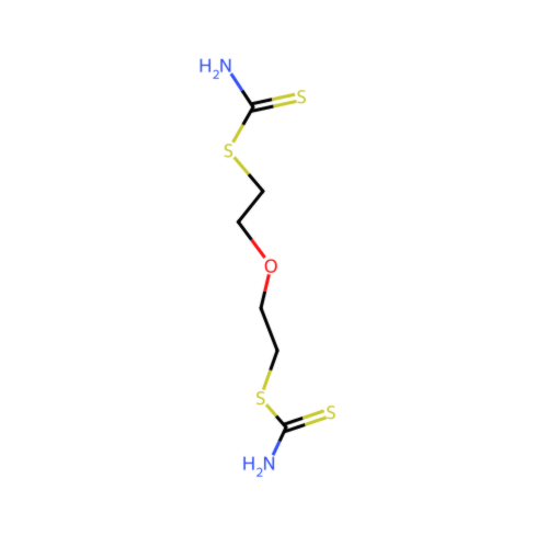 NC(=S)SCCOCCSC(N)=S